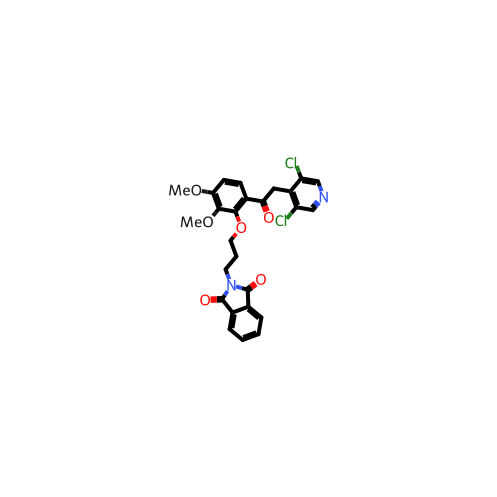 COc1ccc(C(=O)Cc2c(Cl)cncc2Cl)c(OCCCN2C(=O)c3ccccc3C2=O)c1OC